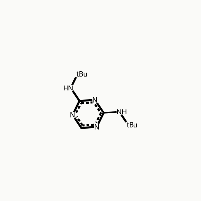 CC(C)(C)Nc1ncnc(NC(C)(C)C)n1